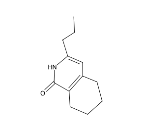 CCCc1cc2c(c(=O)[nH]1)CCCC2